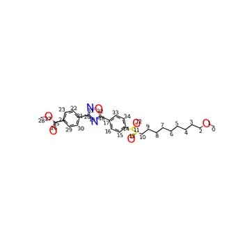 COCCCCCCCCCS(=O)(=O)c1ccc(-c2nc(-c3ccc(C(=O)OC)cc3)no2)cc1